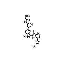 Cc1ccc(-c2ccnc3[nH]c(-c4n[nH]c5ccc(-c6cncc(NC(=O)CC(C)(C)C)c6)nc45)nc23)s1